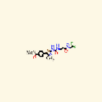 CNC(=O)c1ccc(-c2sc(NC(=O)NCCC(=O)NCC(F)F)nc2C)cc1